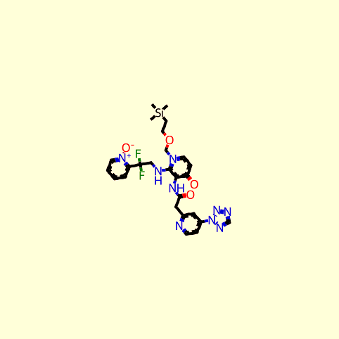 C[Si](C)(C)CCOCn1ccc(=O)c(NC(=O)Cc2cc(-n3ncnn3)ccn2)c1NCC(F)(F)c1cccc[n+]1[O-]